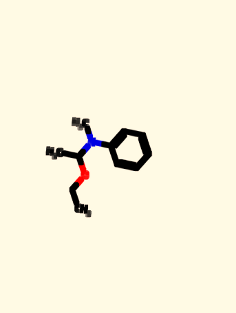 CCOC(C)N(C)c1ccccc1